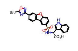 CC(C)(C)c1nc(-c2ccc3c(c2)oc2ccc(S(=O)(=O)N[C@H](C(=O)O)c4c[nH]c5ccccc45)cc23)no1